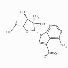 C[C@@]1(O)[C@H](O)[C@@H](PO)O[P@@]1n1cc([N+](=O)[O-])c2c(N)ncnc21